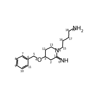 N=C1CC(OCc2ccccc2)CCN1CCCCN